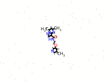 Cc1cncc(OCCNC(=O)c2cnn3c(C)cc(C)nc23)c1